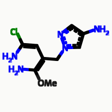 CO/C(N)=C(/C=C(\N)Cl)Cn1cc(N)cn1